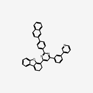 C1=c2c(oc3ccccc23)=C(c2cc(-c3cccc(-c4cccnc4)c3)nc(-c3ccc(-c4ccc5ccccc5c4)cc3)n2)CC1